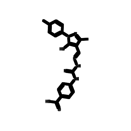 Cc1ccc(-n2nc(C)c(/C=N/NC(=S)Nc3ccc(C(=O)O)cc3)c2O)cc1